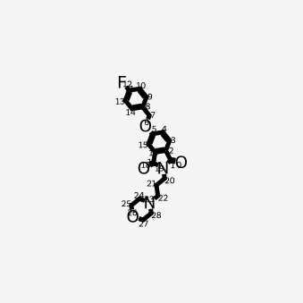 O=C1c2ccc(OCc3ccc(F)cc3)cc2C(=O)N1CCCN1CCOCC1